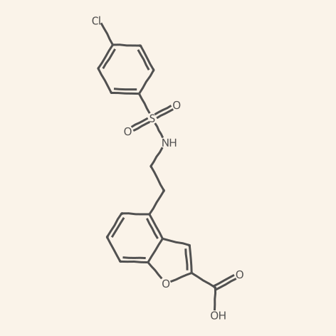 O=C(O)c1cc2c(CCNS(=O)(=O)c3ccc(Cl)cc3)cccc2o1